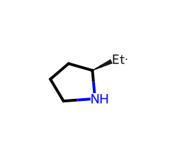 C[CH][C@@H]1CCCN1